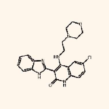 O=c1[nH]c2ccc(Cl)cc2c(NCCN2CCOCC2)c1-c1nc2ccccc2[nH]1